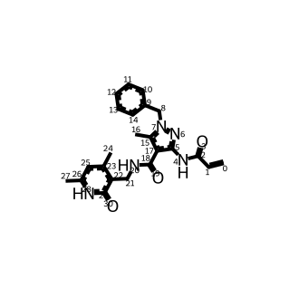 C=CC(=O)Nc1nn(Cc2ccccc2)c(C)c1C(=O)NCc1c(C)cc(C)[nH]c1=O